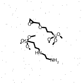 CO[Si](CCCNCCN)(OC)OC.CO[Si](CCCOCC1CO1)(OC)OC